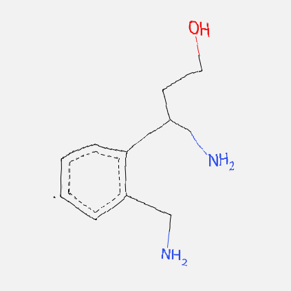 NCc1c[c]ccc1C(N)CCO